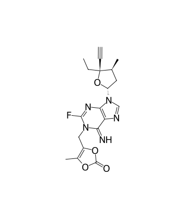 C#C[C@]1(CC)O[C@@H](n2cnc3c(=N)n(Cc4oc(=O)oc4C)c(F)nc32)C[C@@H]1C